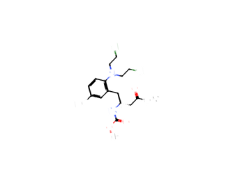 COC(=O)C[C@H](Cc1cc(C)ccc1N(CCCl)CCCl)NC(=O)OC(C)(C)C